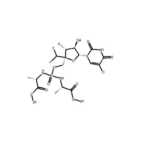 CC(C)OC(=O)[C@H](C)NP(=O)(N[C@@H](C)C(=O)OC(C)C)OC[C@@]1(C(F)F)O[C@@H](n2cc(Cl)c(=O)[nH]c2=O)[C@H](O)[C@H]1F